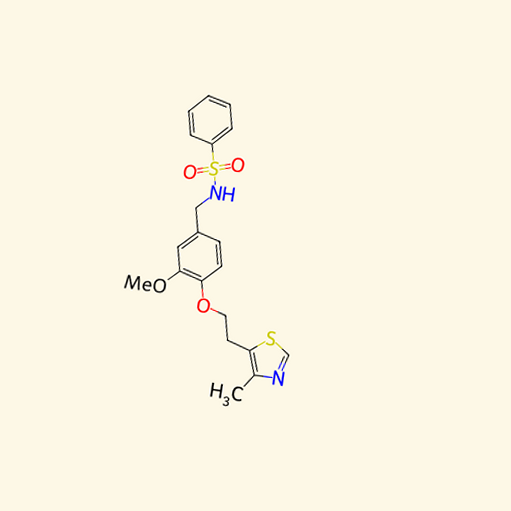 COc1cc(CNS(=O)(=O)c2ccccc2)ccc1OCCc1scnc1C